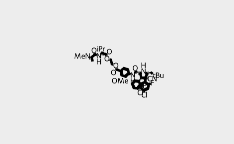 CN[C@@H](C)C(=O)N[C@H](C(=O)OCCOC(=O)c1ccc(NC(=O)[C@@H]2N[C@@H](CC(C)(C)C)[C@](C#N)(c3ccc(Cl)cc3F)[C@H]2c2cccc(Cl)c2F)c(OC)c1)C(C)C